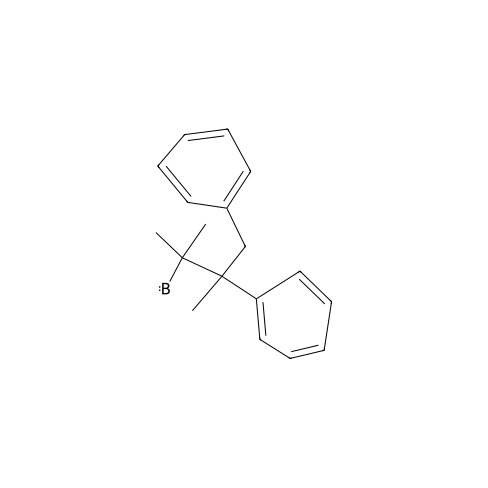 [B]C(C)(C)C(C)(Cc1ccccc1)c1ccccc1